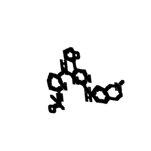 CN1CCc2ccc(Nc3ncc(-c4ccco4)c(Nc4cccc(N=S(C)(C)=O)n4)n3)cc2C1